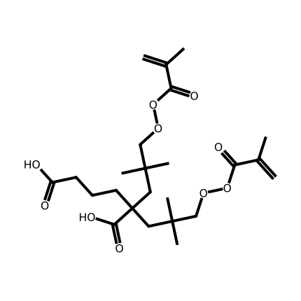 C=C(C)C(=O)OOCC(C)(C)CC(CCCC(=O)O)(CC(C)(C)COOC(=O)C(=C)C)C(=O)O